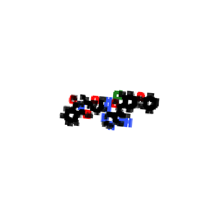 C[C@@H]([C@@H]1CC[C@@H](Nc2ncnc3[nH]cc(C(=O)c4ccc(Oc5ccccc5)cc4Cl)c23)CO1)N1C(=O)c2ccccc2C1=O